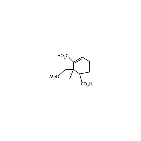 COCC1(C)C(C(=O)O)=CC=CC1C(=O)O